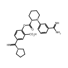 N=C(N)c1cccc(N2CCCC[C@@H]2C(=O)Oc2ccc(C(=N)N3CCCC3)cc2C(=O)O)c1